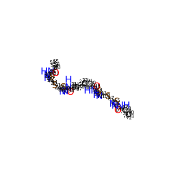 O=C(Nc1nnc(CCSCCc2nnc(NC(=O)C3CCc4ccc(C5CC6CC5CC6C(=O)Nc5nnc(CCSCCc6nnc(NC(=O)C7CC8CCC7C8)s6)s5)cc4C3)s2)s1)C1CCc2ccccc2C1